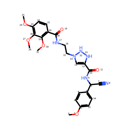 COc1ccc(C(C#N)NC(=O)C2=CN(CCNC(=O)c3ccc(OC)c(OC)c3OC)NN2)cc1